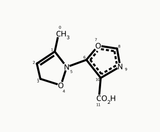 CC1=[C][CH]ON1c1ocnc1C(=O)O